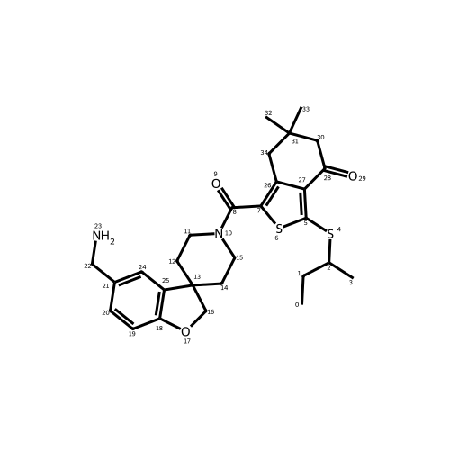 CCC(C)Sc1sc(C(=O)N2CCC3(CC2)COc2ccc(CN)cc23)c2c1C(=O)CC(C)(C)C2